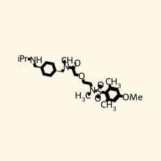 COc1cc(C)c(S(=O)(=O)N(C)CCOCC(=O)N(C)C[C@H]2CC[C@H](CNC(C)C)CC2)c(C)c1